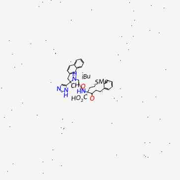 CC[C@H](C)C(CON[C@](CCSC)(C(=O)O)C(=O)CCc1ccccc1)NC(C)(Cc1ccc2ccccc2c1)c1cnc[nH]1